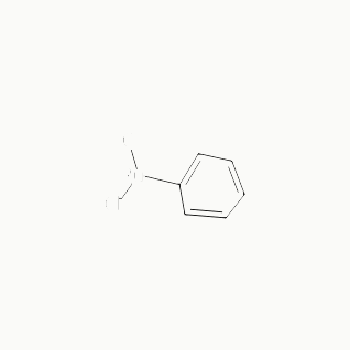 [Cl][Ru]([Cl])[c]1ccccc1